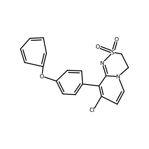 O=S1(=O)CCN2C=CC(Cl)=C(c3ccc(Oc4ccccc4)cc3)C2=N1